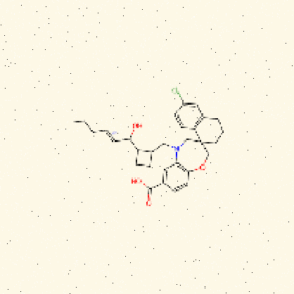 CCC/C=C/C(O)C1CCC1CN1CC2(CCCc3cc(Cl)ccc32)COc2ccc(C(=O)O)cc21